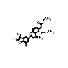 [2H]c1oc2c(Br)cc(C(=O)CN(C)c3cccc(CC(=O)OCC)c3OCOC)cc2c1[2H]